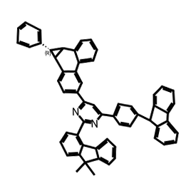 CC1(C)c2ccccc2-c2c(-c3nc(-c4ccc(C5c6ccccc6-c6ccccc65)cc4)cc(-c4ccc5c(c4)-c4ccccc4C4C5[C@@H]4c4ccccc4)n3)cccc21